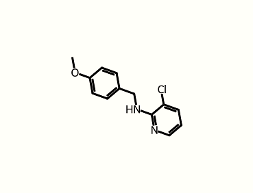 COc1ccc(CNc2ncccc2Cl)cc1